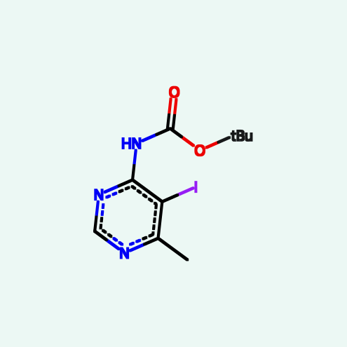 Cc1ncnc(NC(=O)OC(C)(C)C)c1I